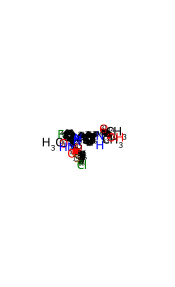 COc1c(F)ccc2c1c(NS(=O)(=O)c1ccc(Cl)s1)nn2Cc1cccc(CNC(=O)C(C)(C)O)c1